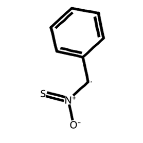 [O-][N+](=S)[CH]c1ccccc1